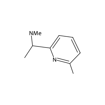 CNC(C)c1cccc(C)n1